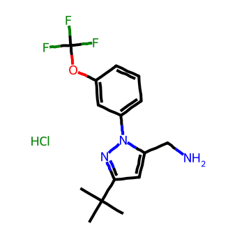 CC(C)(C)c1cc(CN)n(-c2cccc(OC(F)(F)F)c2)n1.Cl